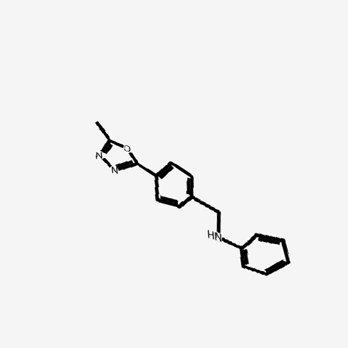 Cc1nnc(-c2ccc(CNc3ccccc3)cc2)o1